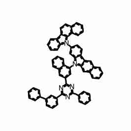 c1ccc(-c2cccc(-c3nc(-c4ccccc4)nc(-c4cc(-n5c6cc(-n7c8ccccc8c8ccc9ccccc9c87)ccc6c6cc7ccccc7cc65)c5ccccc5c4)n3)c2)cc1